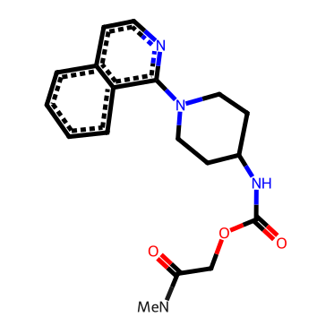 CNC(=O)COC(=O)NC1CCN(c2nccc3ccccc23)CC1